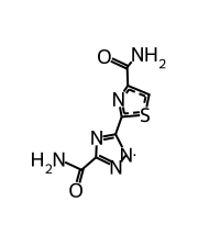 NC(=O)C1=N[N]C(c2nc(C(N)=O)cs2)=N1